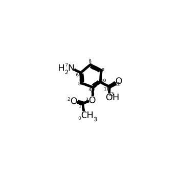 CC(=O)Oc1cc(N)ccc1C(=O)O